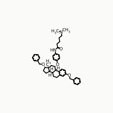 CN(C)CCCCC(=O)Nc1ccc(O[C@H]2C[C@]3(C)[C@@H](OCc4ccccc4)CC[C@H]3[C@@H]3CCc4cc(OCc5ccccc5)ccc4[C@H]32)cc1